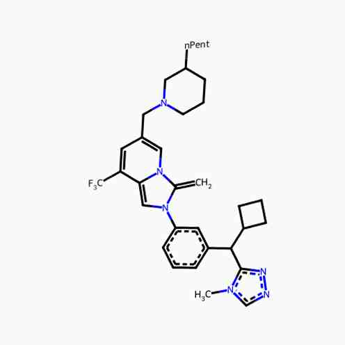 C=C1N2C=C(CN3CCCC(CCCCC)C3)C=C(C(F)(F)F)C2=CN1c1cccc(C(c2nncn2C)C2CCC2)c1